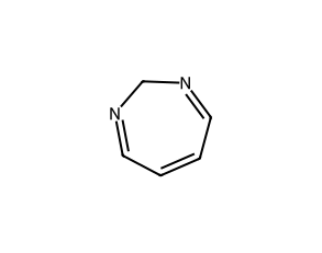 C1=CC=NCN=C1